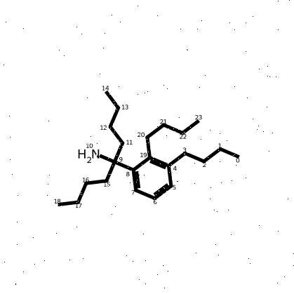 CCCCc1cccc(C(N)(CCCC)CCCC)c1CCCC